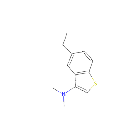 CCc1ccc2scc(N(C)C)c2c1